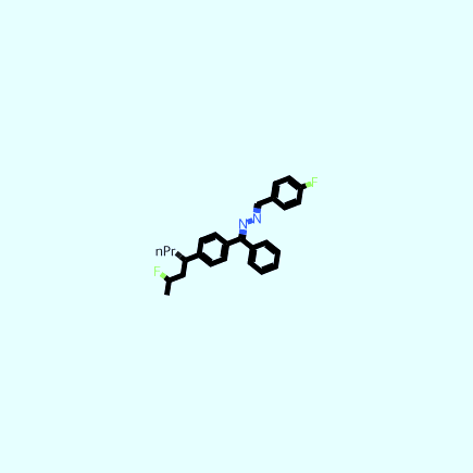 CCCC(CC(C)F)c1ccc(C(=NN=Cc2ccc(F)cc2)c2ccccc2)cc1